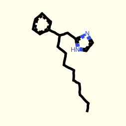 CCCCCCCCCC(Cc1ncc[nH]1)c1ccccc1